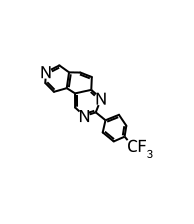 FC(F)(F)c1ccc(-c2ncc3c(ccc4cnccc43)n2)cc1